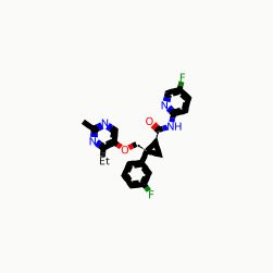 CCc1nc(C)ncc1OC[C@@]1(c2cccc(F)c2)C[C@H]1C(=O)Nc1ccc(F)cn1